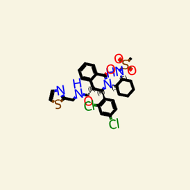 CS(=O)(=O)N[C@H]1CCCC[C@@H]1N1C(=O)c2ccccc2[C@@H](C(=O)NCc2nccs2)[C@@H]1c1ccc(Cl)cc1Cl